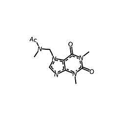 CC(=O)N(C)Cn1cnc2c1c(=O)n(C)c(=O)n2C